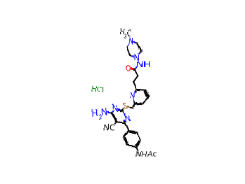 CC(=O)Nc1ccc(-c2nc(SCc3cccc(CCC(=O)NN4CCN(C)CC4)n3)nc(N)c2C#N)cc1.Cl